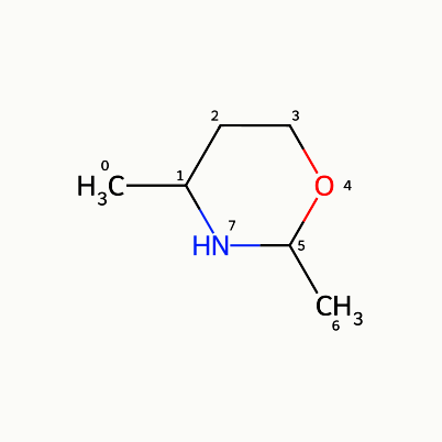 CC1CCOC(C)N1